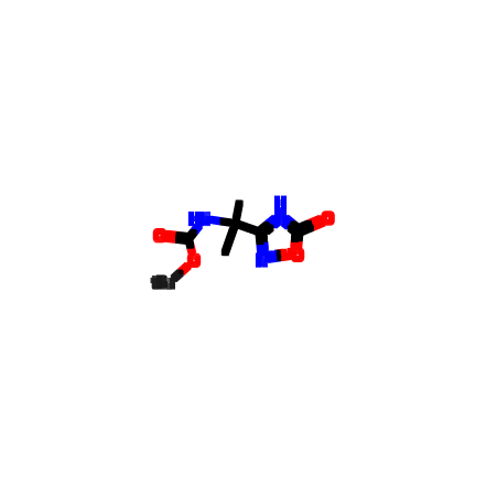 CC(C)(C)OC(=O)NC(C)(C)c1noc(=O)[nH]1